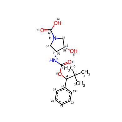 CC(C)(C)C(OC(=O)N[C@@H]1CN(C(=O)O)C[C@@H]1O)c1ccccc1